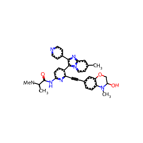 CNC(C)C(=O)Nc1ccc(-c2c(-c3ccncc3)nc3cc(C)ccn23)c(C#Cc2ccc3c(c2)OCC(O)N3C)n1